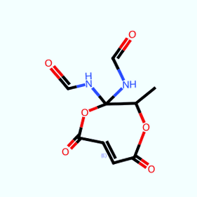 CC1OC(=O)/C=C/C(=O)OC1(NC=O)NC=O